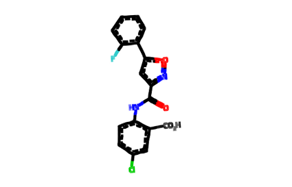 O=C(Nc1ccc(Cl)cc1C(=O)O)c1cc(-c2ccccc2F)on1